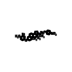 CC[C@H]1OC(OC2CC[C@@]3(C)C(=CCC4C3CC[C@@]3(C)C4CC[C@@H]3/C(C)=N/OCc3ccc([N+](=O)[O-])cc3)C2)C=C[C@@H]1C